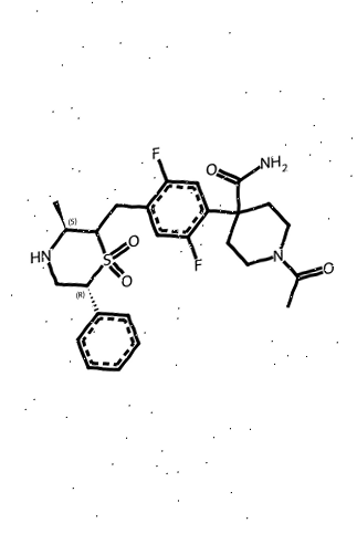 CC(=O)N1CCC(C(N)=O)(c2cc(F)c(CC3[C@H](C)NC[C@@H](c4ccccc4)S3(=O)=O)cc2F)CC1